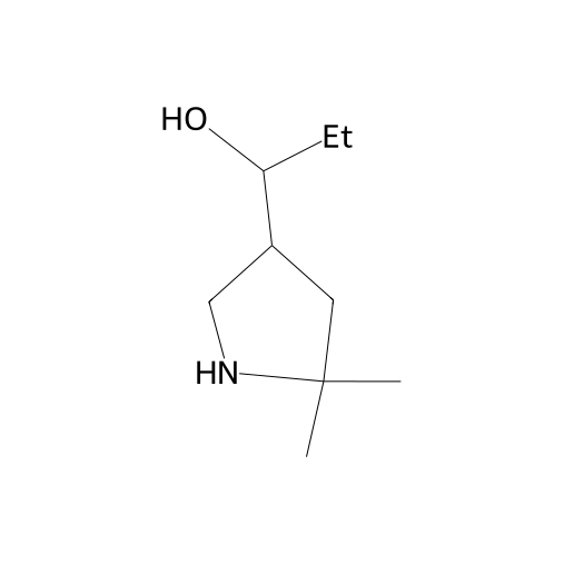 CCC(O)C1CNC(C)(C)C1